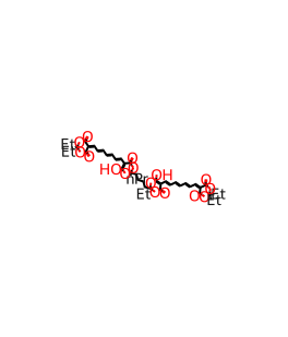 CCCC1(CCCCC2(CC)OC(=O)C(/C=C/C=C/C=C/C=C3C(=O)OC(CC)(CC)OC3=O)=C(O)O2)OC(=O)C(/C=C/C=C/C=C/C=C2C(=O)OC(CC)(CC)OC2=O)=C(O)O1